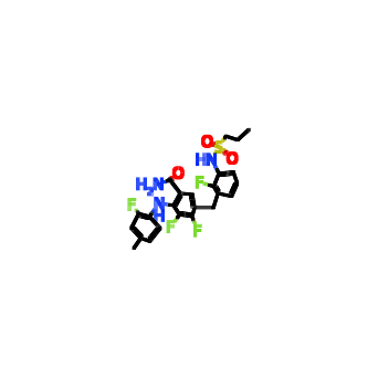 CCCS(=O)(=O)Nc1cccc(Cc2cc(C(N)=O)c(Nc3ccc(C)cc3F)c(F)c2F)c1F